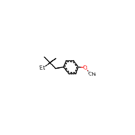 CCC(C)(C)Cc1ccc(OC#N)cc1